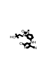 Cn1c(=O)n(CCC(C)(C)O)c2cc(Nc3cc(Cl)ncc3C#N)ccc21